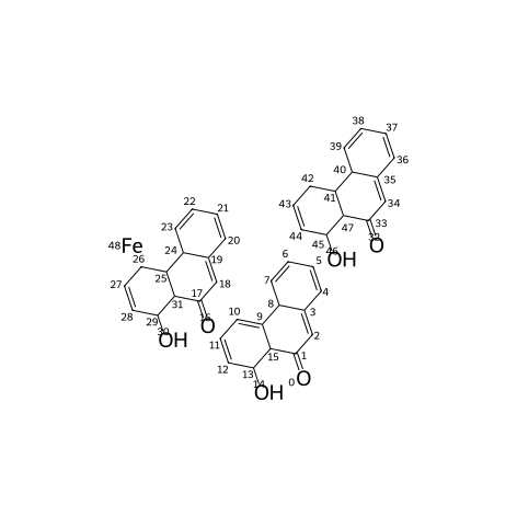 O=C1C=C2C=CC=CC2C2=CC=CC(O)C12.O=C1C=C2C=CC=CC2C2CC=CC(O)C12.O=C1C=C2C=CC=CC2C2CC=CC(O)C12.[Fe]